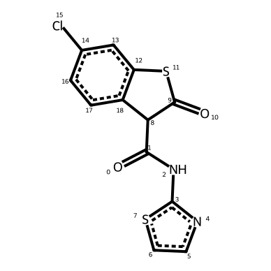 O=C(Nc1nccs1)C1C(=O)Sc2cc(Cl)ccc21